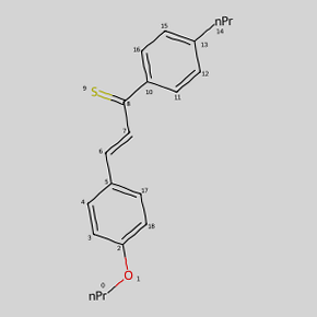 CCCOc1ccc(C=CC(=S)c2ccc(CCC)cc2)cc1